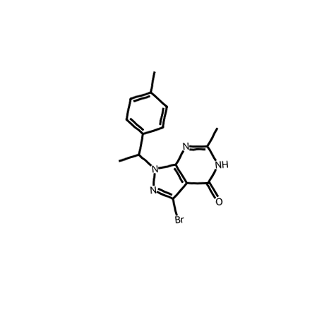 Cc1ccc(C(C)n2nc(Br)c3c(=O)[nH]c(C)nc32)cc1